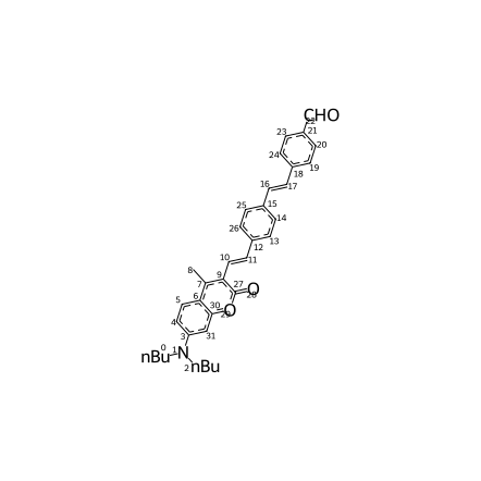 CCCCN(CCCC)c1ccc2c(C)c(/C=C/c3ccc(/C=C/c4ccc(C=O)cc4)cc3)c(=O)oc2c1